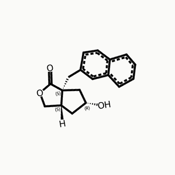 O=C1OC[C@H]2C[C@@H](O)C[C@]12Cc1ccc2ccccc2c1